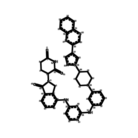 O=C1CCC(N2Cc3c(Nc4ccnc(Nc5cccc(N6CCC(n7cc(-c8cnc9ccccc9n8)cn7)CC6)c5)n4)cccc3C2=O)C(=O)N1